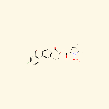 C[C@@H]1CC(C(=O)OC2CCc3cc4c(cc3C2=O)OCc2cc(Cl)ccc2-4)N(C(=O)OC(C)(C)C)[C@@H]1C